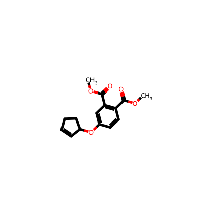 COC(=O)c1ccc(OC2C=CCC2)cc1C(=O)OC